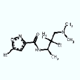 CCc1cc(C(=O)NC(C)C(C)(CC)CN(C)C)no1